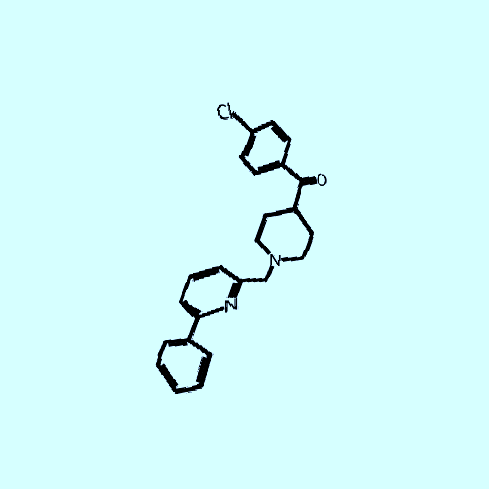 O=C(c1ccc(Cl)cc1)C1CCN(Cc2cccc(-c3ccccc3)n2)CC1